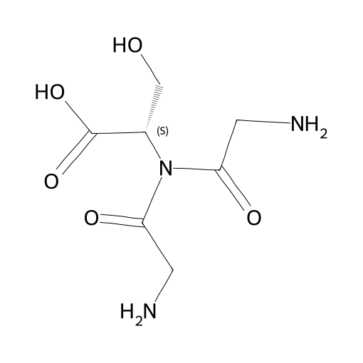 NCC(=O)N(C(=O)CN)[C@@H](CO)C(=O)O